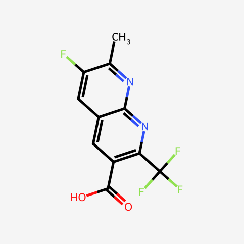 Cc1nc2nc(C(F)(F)F)c(C(=O)O)cc2cc1F